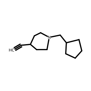 C#CC1CCN(CC2CCCC2)CC1